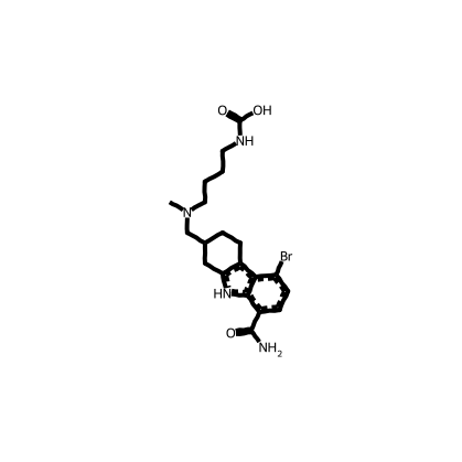 CN(CCCCNC(=O)O)CC1CCc2c([nH]c3c(C(N)=O)ccc(Br)c23)C1